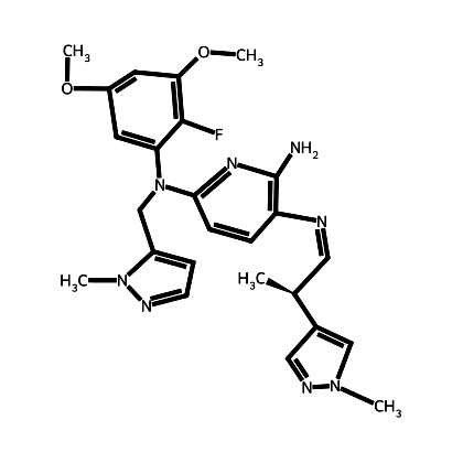 COc1cc(OC)c(F)c(N(Cc2ccnn2C)c2ccc(/N=C\[C@H](C)c3cnn(C)c3)c(N)n2)c1